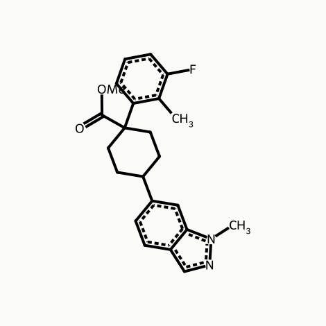 COC(=O)C1(c2cccc(F)c2C)CCC(c2ccc3cnn(C)c3c2)CC1